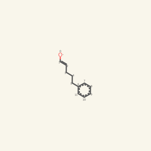 [O]C=CCCCc1ccccc1